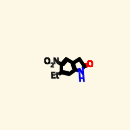 CCc1cc2c(cc1[N+](=O)[O-])CC(=O)N2